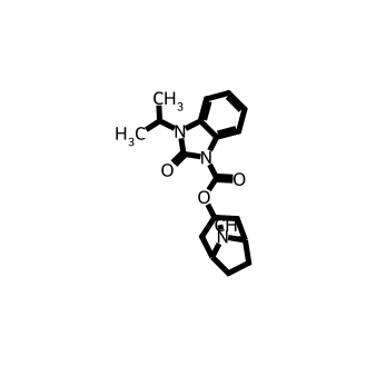 CC(C)n1c(=O)n(C(=O)OC2CC3CCC(C2)N3C)c2ccccc21